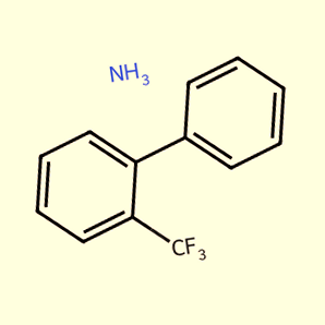 FC(F)(F)c1ccccc1-c1ccccc1.N